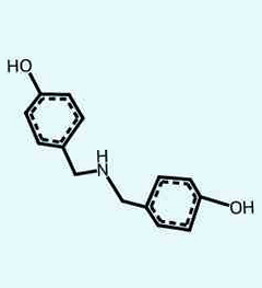 Oc1ccc(CNCc2ccc(O)cc2)cc1